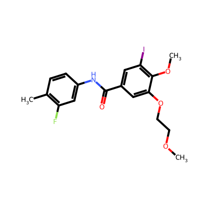 COCCOc1cc(C(=O)Nc2ccc(C)c(F)c2)cc(I)c1OC